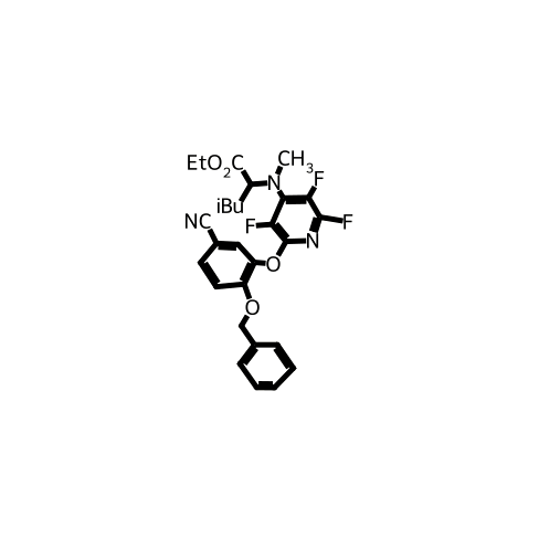 CCOC(=O)C(C(C)CC)N(C)c1c(F)c(F)nc(Oc2cc(C#N)ccc2OCc2ccccc2)c1F